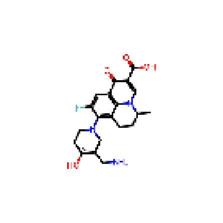 CC1CCc2c(N3CC[C@H](O)C(CN)C3)c(F)cc3c(=O)c(C(=O)O)cn1c23